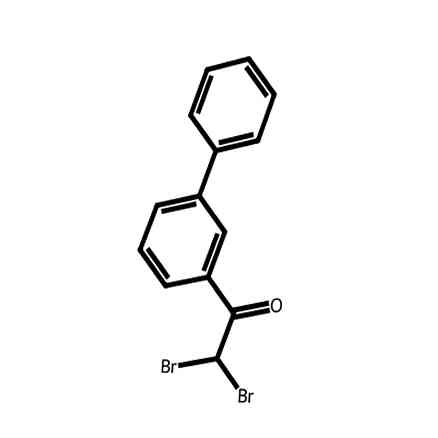 O=C(c1cccc(-c2ccccc2)c1)C(Br)Br